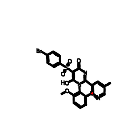 COc1cccc(OC)c1-n1c(-c2cncc(C)c2)nc(=O)c(S(=O)(=O)c2ccc(Br)cc2)c1O